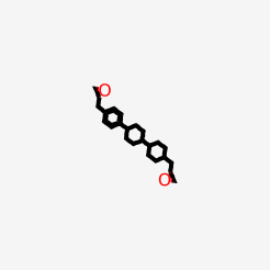 c1cc(C2CCC(C3CCC(CC4CO4)CC3)CC2)ccc1CC1CO1